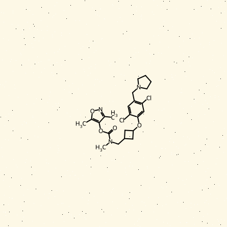 Cc1noc(C)c1OC(=O)N(C)CC1CC(Oc2cc(Cl)c(CN3CCCC3)cc2Cl)C1